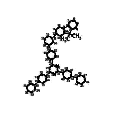 CC1(C)c2ccccc2-c2ccc(-c3cccc(-c4ccc(-c5cc(-c6ccc(-c7ccccc7)cc6)nc(-c6ccc(-c7ccccc7)cc6)n5)cc4)c3)cc21